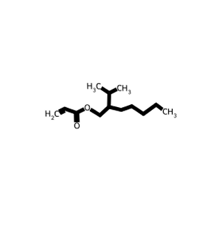 C=CC(=O)OCC(CCCCC)C(C)C